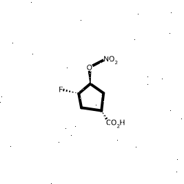 O=C(O)[C@H]1C[C@H](O[N+](=O)[O-])[C@@H](F)C1